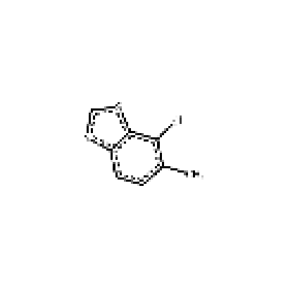 Cc1ccc2ncsc2c1Cl